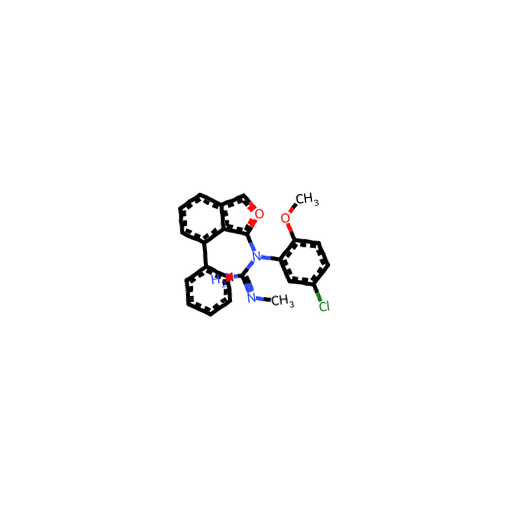 CN=C(N)N(c1cc(Cl)ccc1OC)c1occ2cccc(-c3ccccc3)c12